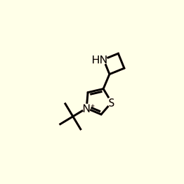 CC(C)(C)[n+]1csc(C2CCN2)c1